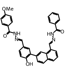 COc1ccc(C(=O)N/N=C/c2ccc(O)c(-c3ccc4cccc(/C=N/NC(=O)c5ccccc5)c4c3)c2)cc1